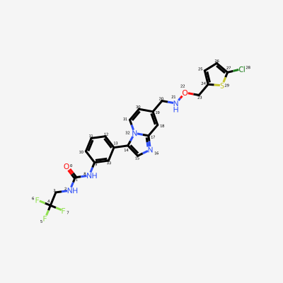 O=C(NCC(F)(F)F)Nc1cccc(-c2cnc3cc(CNOCc4ccc(Cl)s4)ccn23)c1